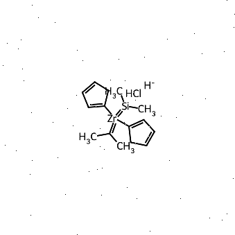 C[C](C)=[Zr]([C]1=CC=CC1)([C]1=CC=CC1)=[Si](C)C.Cl.[H-]